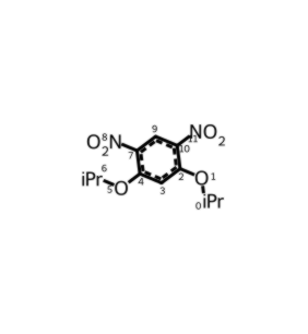 CC(C)Oc1cc(OC(C)C)c([N+](=O)[O-])cc1[N+](=O)[O-]